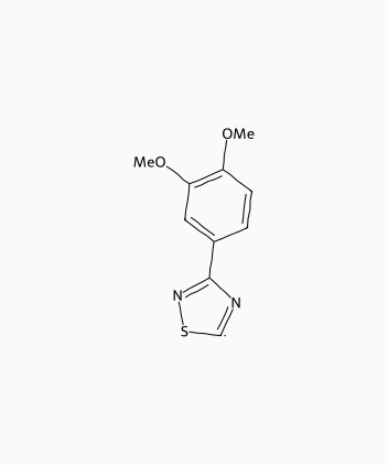 COc1ccc(-c2n[c]sn2)cc1OC